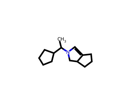 CC(C1CCCC1)N1C=C2CCCC2C1